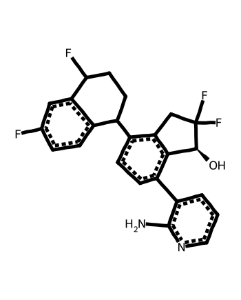 Nc1ncccc1-c1ccc(C2CCC(F)c3cc(F)ccc32)c2c1[C@H](O)C(F)(F)C2